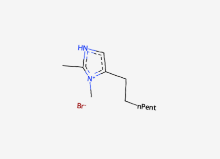 CCCCCCCc1c[nH]c(C)[n+]1C.[Br-]